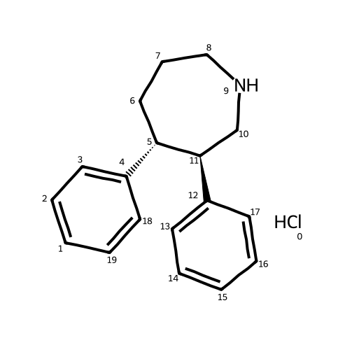 Cl.c1ccc([C@@H]2CCCNC[C@H]2c2ccccc2)cc1